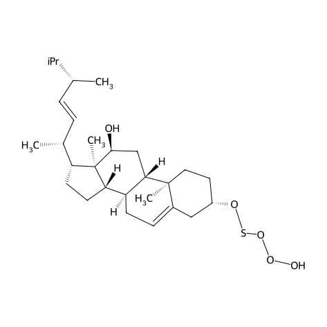 CC(C)[C@H](C)/C=C/[C@@H](C)[C@H]1CC[C@H]2[C@@H]3CC=C4C[C@@H](OSOOO)CC[C@]4(C)[C@H]3C[C@H](O)[C@]12C